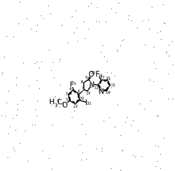 COc1cc(F)c([C@H]2CC(=O)N(c3ncccc3F)C2)c(I)c1